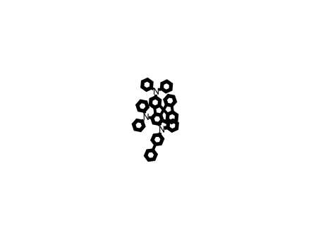 c1ccc(-c2ccc(-n3c4ccccc4c4c5c(c(N(c6ccccc6)c6ccccc6)cc43)-c3ccc(N(c4ccccc4)c4ccccc4)cc3C53c4ccccc4-c4ccccc43)cc2)cc1